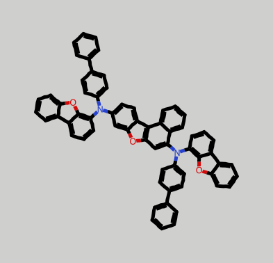 c1ccc(-c2ccc(N(c3ccc4c(c3)oc3cc(N(c5ccc(-c6ccccc6)cc5)c5cccc6c5oc5ccccc56)c5ccccc5c34)c3cccc4c3oc3ccccc34)cc2)cc1